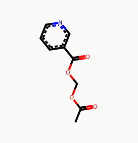 CC(=O)OCOC(=O)c1cccnc1